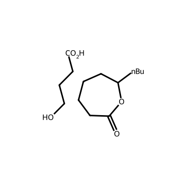 CCCCC1CCCCC(=O)O1.O=C(O)CCCO